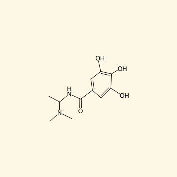 CC(NC(=O)c1cc(O)c(O)c(O)c1)N(C)C